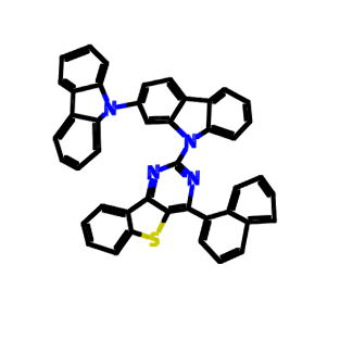 c1ccc2c(-c3nc(-n4c5ccccc5c5ccc(-n6c7ccccc7c7ccccc76)cc54)nc4c3sc3ccccc34)cccc2c1